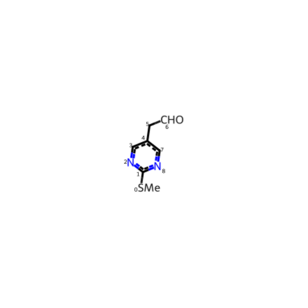 CSc1ncc(CC=O)cn1